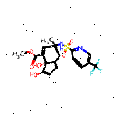 COC(=O)C1=C[C@](C)(NS(=O)(=O)c2ccc(C(F)(F)F)cn2)CC2CC[C@@H](O)[C@@]12O